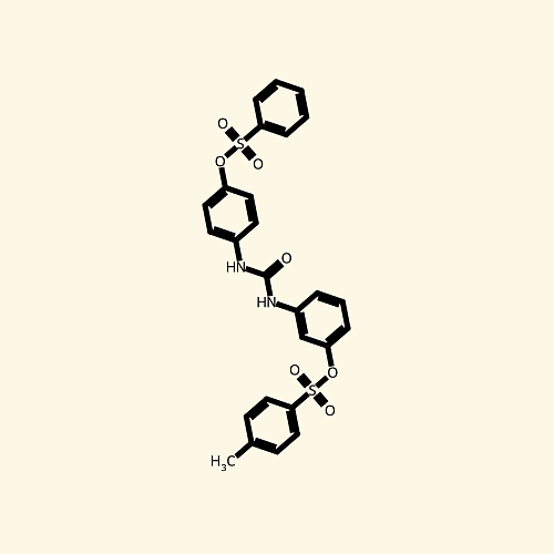 Cc1ccc(S(=O)(=O)Oc2cccc(NC(=O)Nc3ccc(OS(=O)(=O)c4ccccc4)cc3)c2)cc1